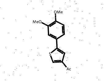 COc1ccc(-c2cc(C(C)=O)cs2)cc1OC